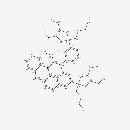 CCCC[Si](CCCC)(CCCC)c1cccc(P(c2cccc([Si](CCCC)(CCCC)CCCC)c2)N(C(C)C)P(c2ccccc2F)c2ccccc2F)c1